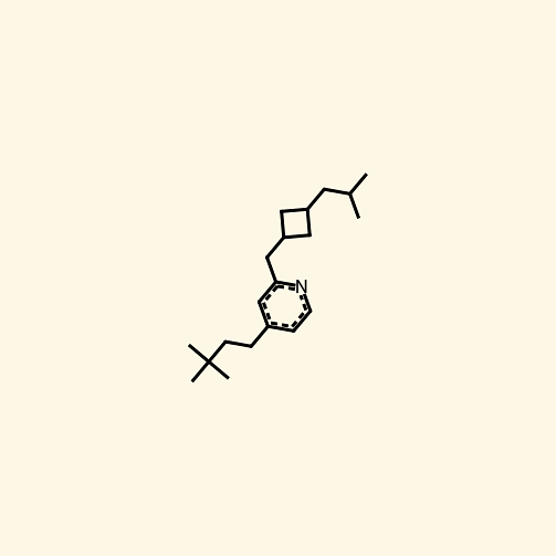 CC(C)CC1CC(Cc2cc(CCC(C)(C)C)ccn2)C1